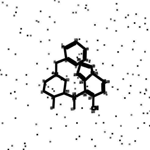 CC1CCN(Cc2ccccc2)CC1N(C)c1c(C#N)cnn2cccc12